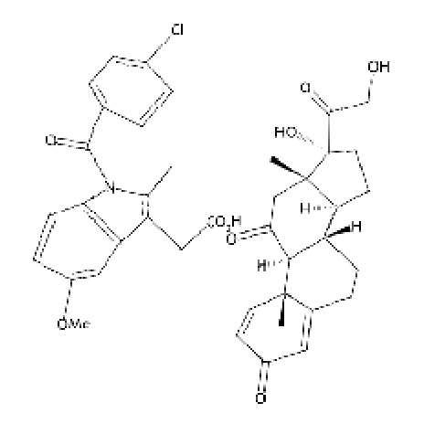 COc1ccc2c(c1)c(CC(=O)O)c(C)n2C(=O)c1ccc(Cl)cc1.C[C@]12C=CC(=O)C=C1CC[C@@H]1[C@@H]2C(=O)C[C@@]2(C)[C@H]1CC[C@]2(O)C(=O)CO